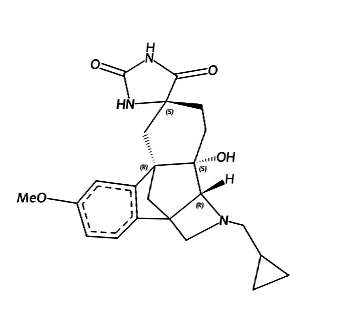 COc1ccc2c(c1)[C@]13CC24CN(CC2CC2)[C@H]4[C@]1(O)CC[C@@]1(C3)NC(=O)NC1=O